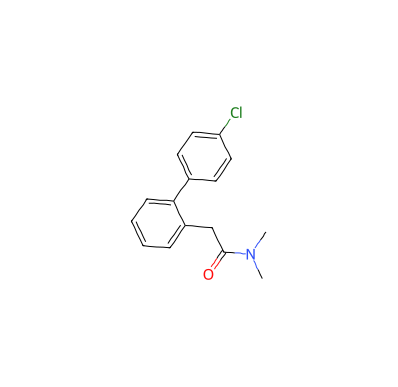 CN(C)C(=O)Cc1ccccc1-c1ccc(Cl)cc1